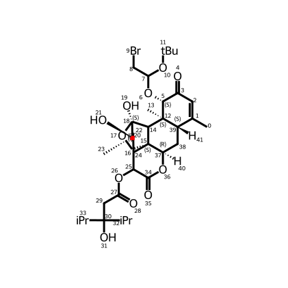 CC1=CC(=O)[C@@H](OC(CBr)OC(C)(C)C)[C@]2(C)C3[C@]45CO[C@]3(O)[C@H](O)[C@H](C)C4C(OC(=O)CC(O)(C(C)C)C(C)C)C(=O)O[C@@H]5C[C@@H]12